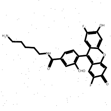 NCCCCCNC(=O)c1ccc(-c2c3cc(F)c(=O)cc-3oc3cc(O)c(F)cc23)c(C=O)c1